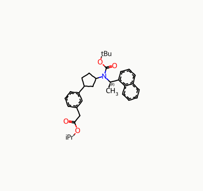 CC(C)OC(=O)Cc1cccc(C2CCC(N(C(=O)OC(C)(C)C)[C@H](C)c3cccc4ccccc34)C2)c1